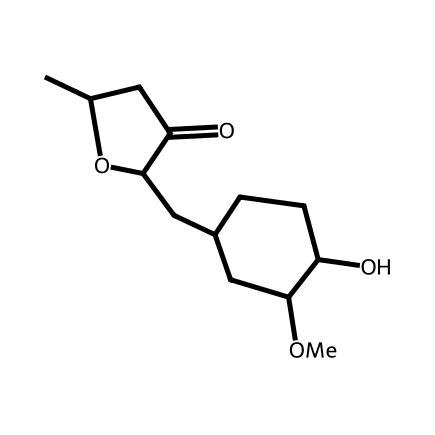 COC1CC(CC2OC(C)CC2=O)CCC1O